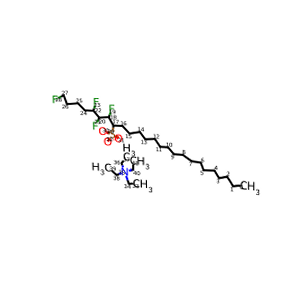 CCCCCCCCCCCCCCCCCC(C(F)C(F)C(F)CCCCF)S(=O)(=O)[O-].CC[N+](CC)(CC)CC